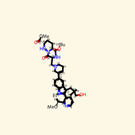 CCn1c(-c2cccnc2[C@H](C)OC)c(CC(C)(C)CO)c2cc(C3=CCCN(CC(NC(=O)OC(C)(C)C)C(=O)N4CCC[C@@H](C(=O)OC)N4)C3)ccc21